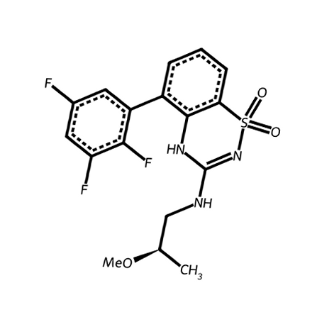 CO[C@H](C)CNC1=NS(=O)(=O)c2cccc(-c3cc(F)cc(F)c3F)c2N1